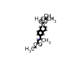 CCOC(=O)/C=C(\C)c1ccc2c(c1)CCN(C(=O)OC(C)(C)C)C2